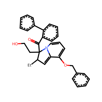 CCC1C=C2C(OCc3ccccc3)=CC=CN2C1(CCO)C(=O)c1ccccc1-c1ccccc1